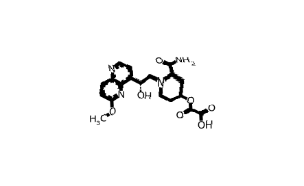 COc1ccc2nccc([C@@H](O)CN3CCC(OC(=O)C(=O)O)CC3C(N)=O)c2n1